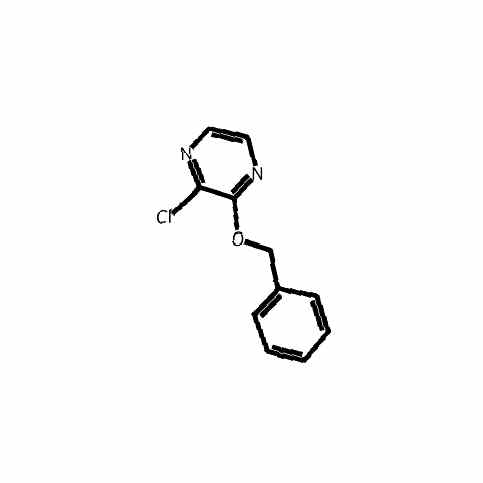 Clc1nccnc1OCc1ccccc1